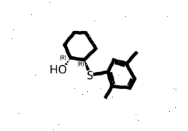 Cc1ccc(C)c(S[C@@H]2CCCC[C@H]2O)c1